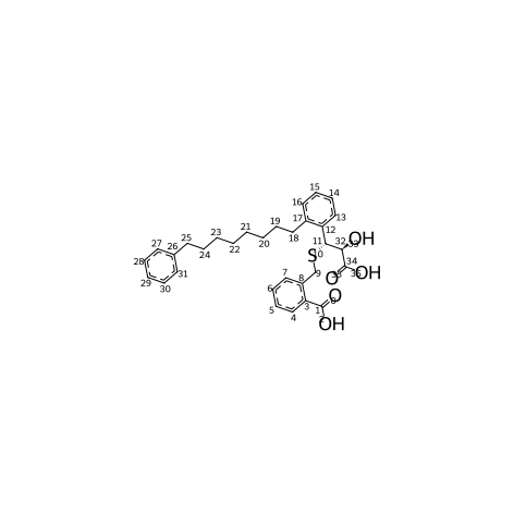 O=C(O)c1ccccc1CS[C@H](c1ccccc1CCCCCCCCc1ccccc1)[C@@H](O)C(=O)O